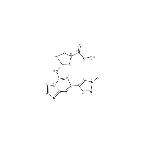 Cn1cc(-c2cc3nccn3c(O[C@@H]3CCN(C(=O)OC(C)(C)C)C3)n2)cn1